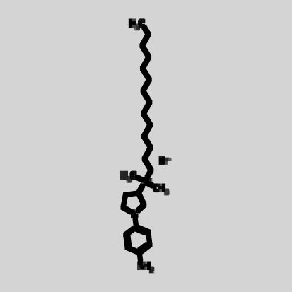 CCCCCCCCCCCCCC[N+](C)(C)C1CCN(c2ccc(N)cc2)C1.[Br-]